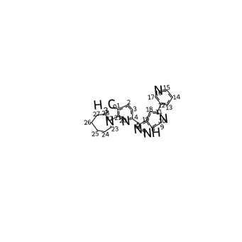 Cc1ccc(-c2n[nH]c3cnc(-c4cccnc4)cc23)nc1N1CCCCCC1